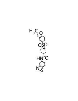 CC1Cc2cc(S(=O)(=O)N3CCC(C(=O)Nc4ccc5scnc5c4)CC3)ccc2O1